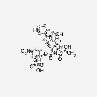 CC(O)C1C(=O)N2C(C(=O)OCc3ccc([N+](=O)[O-])cc3)=C(SC3CC(C4CCCNC4)N(CO)C3)C(C)[C@@H]12.O=C(O)C(=O)O